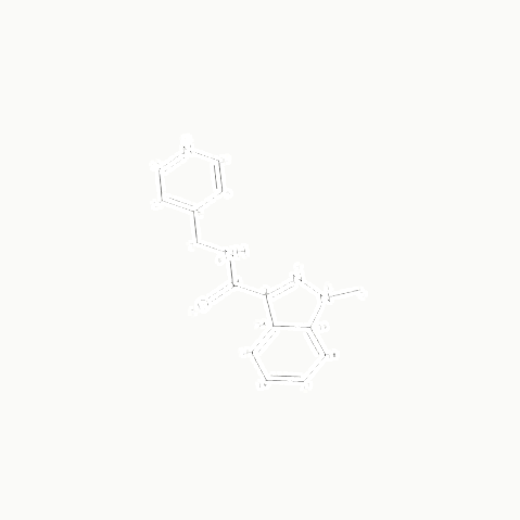 Cn1nc(C(=O)NCc2ccncc2)c2ccccc21